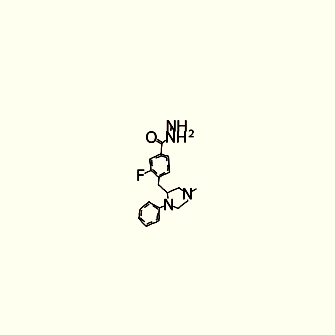 CN1CCN(c2ccccc2)C(Cc2ccc(C(=O)NN)cc2F)C1